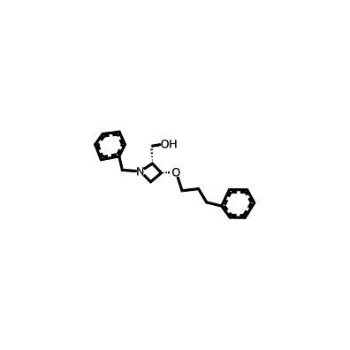 OC[C@@H]1[C@H](OCCCc2ccccc2)CN1Cc1ccccc1